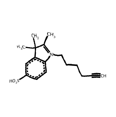 C#CCCCC[N+]1=C(C)C(C)(C)c2cc(S(=O)(=O)O)ccc21